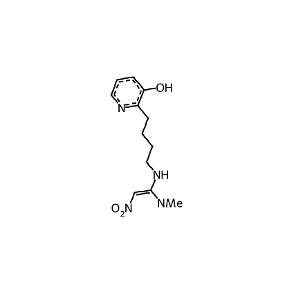 CNC(=C[N+](=O)[O-])NCCCCc1ncccc1O